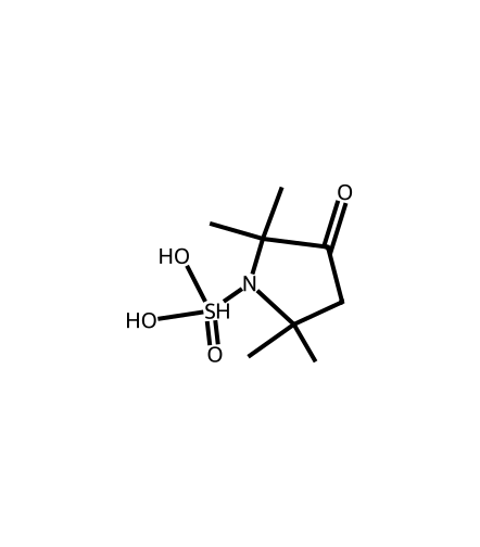 CC1(C)CC(=O)C(C)(C)N1[SH](=O)(O)O